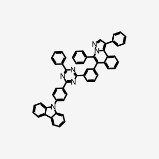 c1ccc(-c2nc(-c3ccc(-n4c5ccccc5c5ccccc54)cc3)nc(-c3cccc(-c4c(-c5ccccc5)n5ncc(-c6ccccc6)c5c5ccccc45)c3)n2)cc1